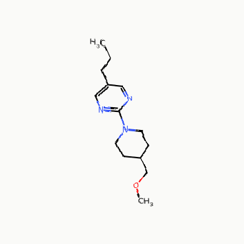 CCCc1cnc(N2CCC(COC)CC2)nc1